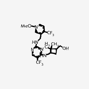 CO[n+]1ccc(C(F)(F)F)c(CNc2ncc(C(F)(F)F)c(NC3CC(CO)C3(C)C)n2)c1